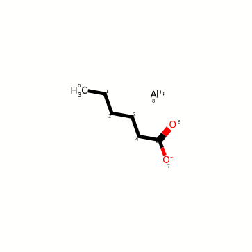 CCCCCC(=O)[O-].[Al+]